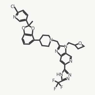 CC1(c2ccc(Cl)nc2)Oc2cccc(C3CCN(Cc4nc5cc(-c6nnc(C(F)(F)F)[nH]6)ncc5n4CC4CCO4)CC3)c2O1